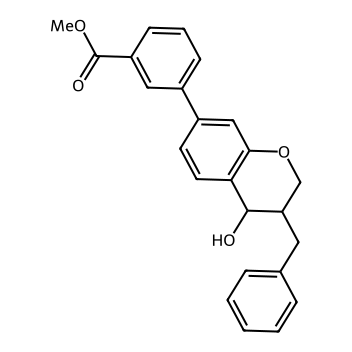 COC(=O)c1cccc(-c2ccc3c(c2)OCC(Cc2ccccc2)C3O)c1